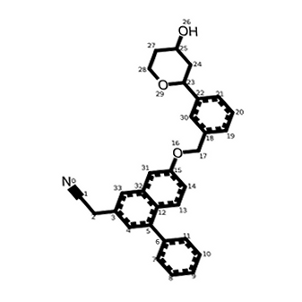 N#CCc1cc(-c2ccccc2)c2ccc(OCc3cccc(C4CC(O)CCO4)c3)cc2c1